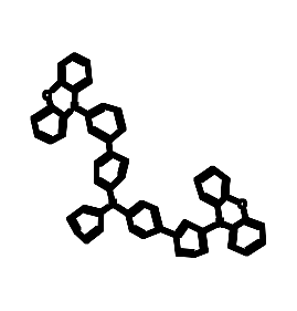 c1ccc(N(c2ccc(-c3cccc(N4c5ccccc5Oc5ccccc54)c3)cc2)c2ccc(-c3cccc(N4c5ccccc5Oc5ccccc54)c3)cc2)cc1